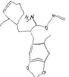 C=NOC(N)C(CC1CCC=CC1C)C1=CC2=C(CC1C)OCO2